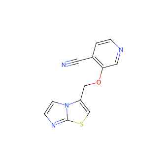 N#Cc1ccncc1OCc1csc2nccn12